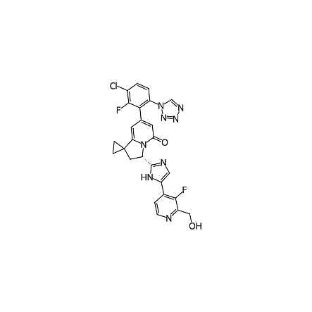 O=c1cc(-c2c(-n3cnnn3)ccc(Cl)c2F)cc2n1[C@H](c1ncc(-c3ccnc(CO)c3F)[nH]1)CC21CC1